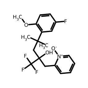 COc1ccc(F)cc1C(C)(C)CC(O)(Cc1cccc[n+]1[O-])C(F)(F)F